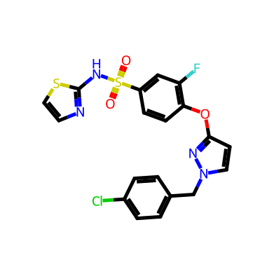 O=S(=O)(Nc1nccs1)c1ccc(Oc2ccn(Cc3ccc(Cl)cc3)n2)c(F)c1